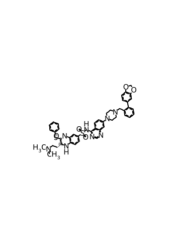 CN(C)CC[C@H](CSc1ccccc1)Nc1ccc(S(=O)(=O)Nc2ncnc3cc(N4CCN(Cc5ccccc5-c5ccc6c(c5)OCO6)CC4)ccc23)cc1[N+](=O)[O-]